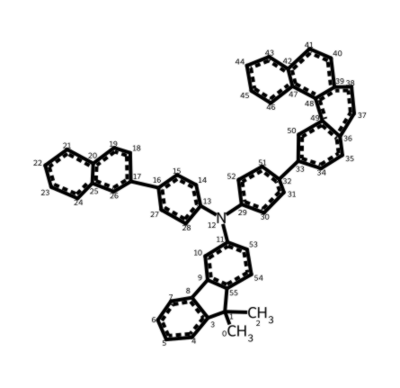 CC1(C)c2ccccc2-c2cc(N(c3ccc(-c4ccc5ccccc5c4)cc3)c3ccc(-c4ccc5ccc6ccc7ccccc7c6c5c4)cc3)ccc21